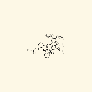 COc1ccc(CC[C@@H](OC(=O)C2CCCCN2S(=O)(=O)c2ccc(OC)c(OC)c2)c2cccc(OCC(=O)O)c2)cc1OC